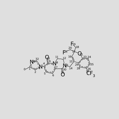 Cc1cn(-c2ccc3n(c2=O)CCN(CC2=CC(CF)(CF)Oc4ccc(C(F)(F)F)cc42)C3=O)cn1